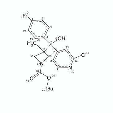 CC(C)c1ccc(C(O)(c2ccnc(Cl)c2)C2(C)CN(C(=O)OC(C)(C)C)C2)cc1